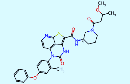 COC(C)CC(=O)N1CCC[C@@H](NC(=O)c2sc3nccc4c3c2NC(=O)N4c2ccc(Oc3ccccc3)cc2C)C1